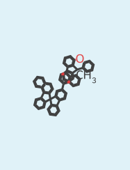 CC1(c2ccccc2)c2ccccc2Oc2cccc(-c3ccc(-c4ccc5c(c4)C4(c6ccccc6-5)c5ccccc5-c5c4ccc4ccccc54)c4ccccc34)c21